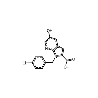 O=C(O)c1cc2cc(O)cnc2n1Cc1ccc(Cl)cc1